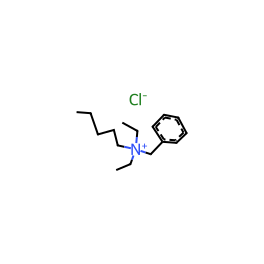 CCCCC[N+](CC)(CC)Cc1ccccc1.[Cl-]